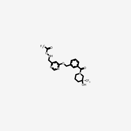 O=C(c1cccc(COc2cc(CNOC(=O)C(F)(F)F)ncn2)c1)N1CCC[C@@](O)(C(F)(F)F)C1